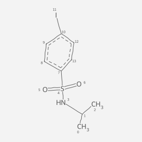 CC(C)NS(=O)(=O)c1ccc(I)cc1